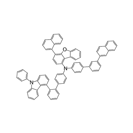 c1ccc(-n2c3ccccc3c3c(-c4ccccc4-c4ccc(N(c5ccc(-c6cccc(-c7ccc8ccccc8c7)c6)cc5)c5ccc(-c6cccc7ccccc67)c6oc7ccccc7c56)cc4)cccc32)cc1